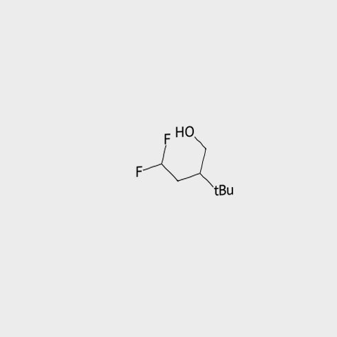 CC(C)(C)C(CO)CC(F)F